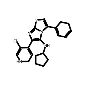 ClC1=CNCC=C1c1nc2scc(C3=CC=CCC3)n2c1NC1CCCC1